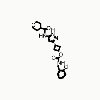 O=C(NCc1ccccc1Cl)O[C@H]1C[C@@H](c2cc(NC(=O)C3CCOCC3)[nH]n2)C1